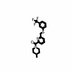 CC1CCN(C(=O)c2cccc(CSc3cccc(C(F)(F)F)c3)n2)CC1